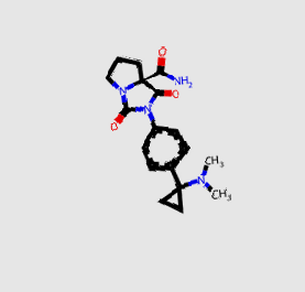 CN(C)C1(c2ccc(N3C(=O)N4CC[CH][C@]4(C(N)=O)C3=O)cc2)CC1